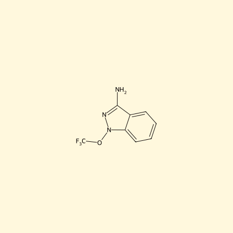 Nc1nn(OC(F)(F)F)c2ccccc12